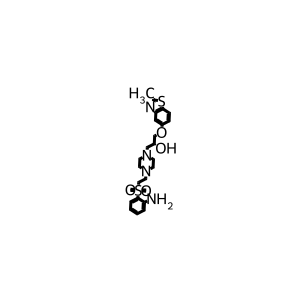 Cc1nc2cc(OC[C@H](O)CN3CCN(CCS(=O)(=O)c4ccccc4N)CC3)ccc2s1